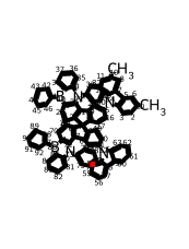 Cc1ccc2c(c1)c1cc(C)ccc1n2-c1ccc2c(c1)-c1c(ccc3c1N(c1ccccc1)c1ccccc1B3c1ccccc1)C21c2ccc(-n3c4ccccc4c4ccccc43)cc2-c2c1ccc1c2N(c2ccccc2)c2ccccc2B1c1ccccc1